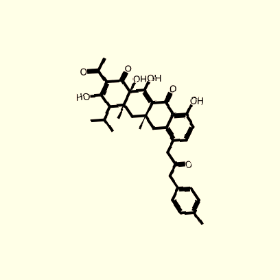 CC(=O)C1=C(O)C(C(C)C)[C@@]2(C)C[C@@]3(C)Cc4c(CC(=O)Cc5ccc(C)cc5)ccc(O)c4C(=O)C3=C(O)[C@@]2(O)C1=O